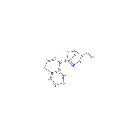 C=CC1CN2CCC1CC2N1C=CCc2ccccc21